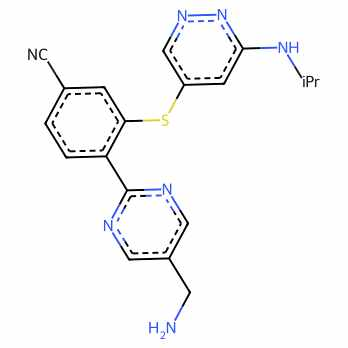 CC(C)Nc1cc(Sc2cc(C#N)ccc2-c2ncc(CN)cn2)cnn1